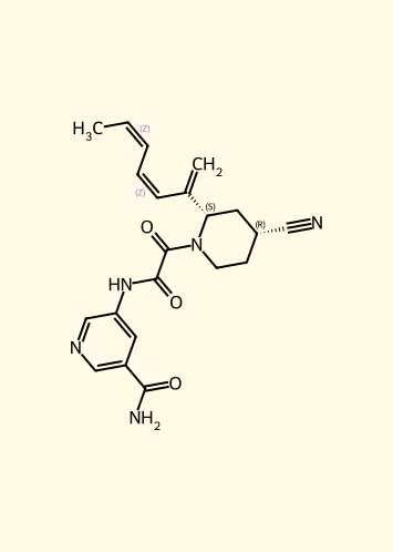 C=C(/C=C\C=C/C)[C@@H]1C[C@H](C#N)CCN1C(=O)C(=O)Nc1cncc(C(N)=O)c1